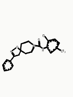 O=C(Nc1cc(C(F)(F)F)ccc1Cl)N1CCC2(CC1)CC(c1ccccc1)=NO2